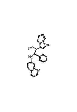 O=CC(c1c[nH]c2ccccc12)C(Nc1ccc2nccnc2c1)c1ccccc1